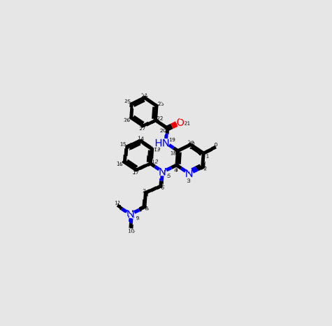 Cc1cnc(N(CCCN(C)C)c2ccccc2)c(NC(=O)c2ccccc2)c1